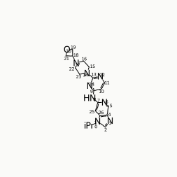 CC(C)n1cnc2cnc(Nc3ccnc(N4CCN(C5COC5)CC4)n3)cc21